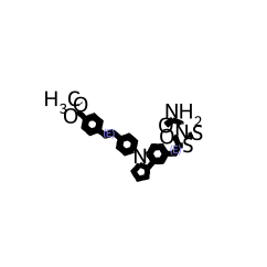 COC(=O)c1ccc(/C=C/c2ccc(N3c4ccc(/C=C5/SC(=S)N(CC(N)=O)C5=O)cc4C4CCCC43)cc2)cc1